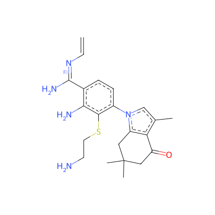 C=C/N=C(/N)c1ccc(-n2cc(C)c3c2CC(C)(C)CC3=O)c(SCCN)c1N